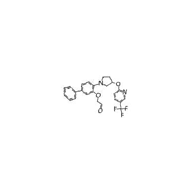 O=CCOc1cc(-c2ccccc2)ccc1N1CCC(Oc2ccc(C(F)(F)F)cn2)C1